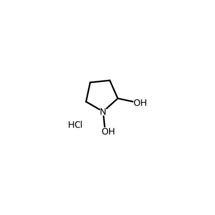 Cl.OC1CCCN1O